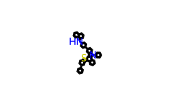 c1ccc(-c2ccc3sc4c(c3c2)c2ccccc2c2c4c3cc(-c4ccc(Nc5cccc6ccccc56)cc4)ccc3n2-c2ccccc2)cc1